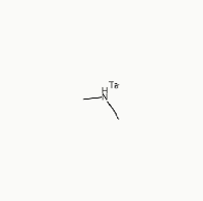 CNC.[Ta]